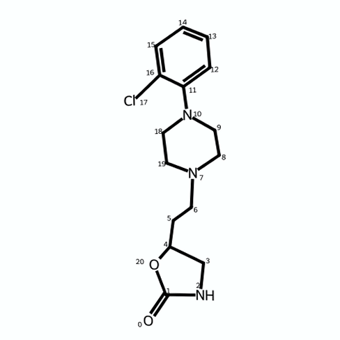 O=C1NCC(CCN2CCN(c3ccccc3Cl)CC2)O1